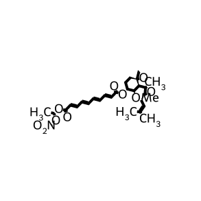 CO[C@@H]1[C@H](OC(=O)/C=C/C=C/C=C/C=C/C(=O)OC(C)O[N+](=O)[O-])CC[C@]2(CO2)[C@H]1[C@@]1(C)O[C@@H]1CC=C(C)C